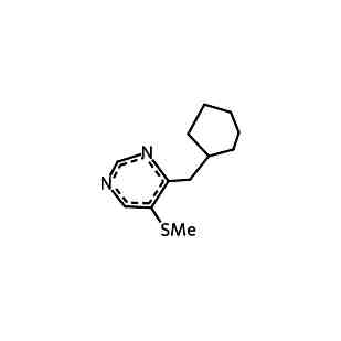 CSc1cncnc1CC1CCCCC1